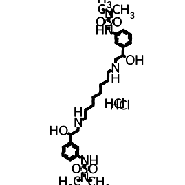 CN(C)S(=O)(=O)Nc1cccc(C(O)CNCCCCCCCCNCC(O)c2cccc(NS(=O)(=O)N(C)C)c2)c1.Cl.Cl